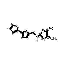 CC(=O)c1sc(NCc2ccc(-c3cccs3)s2)nc1C